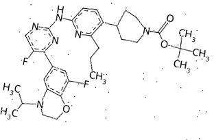 CCCc1nc(Nc2ncc(F)c(-c3cc(F)c4c(c3)N(C(C)C)CCO4)n2)ccc1C1CCN(C(=O)OC(C)(C)C)CC1